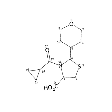 O=C(O)C1CSC(C2CCOCC2)N1C(=O)C1CC1